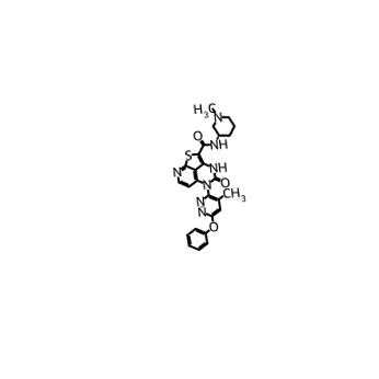 Cc1cc(Oc2ccccc2)nnc1N1C(=O)Nc2c(C(=O)N[C@@H]3CCCN(C)C3)sc3nccc1c23